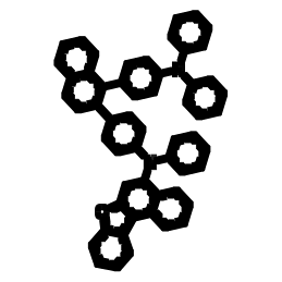 c1ccc(N(c2ccccc2)c2ccc(-c3c(-c4ccc(N(c5ccccc5)c5cc6oc7ccccc7c6c6ccccc56)cc4)ccc4ccccc34)cc2)cc1